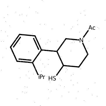 CC(=O)N1CCC(S)C(c2ccccc2C(C)C)C1